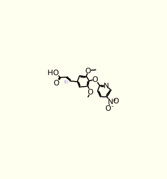 COc1cc(/C=C/C(=O)O)cc(OC)c1Oc1ccc([N+](=O)[O-])cn1